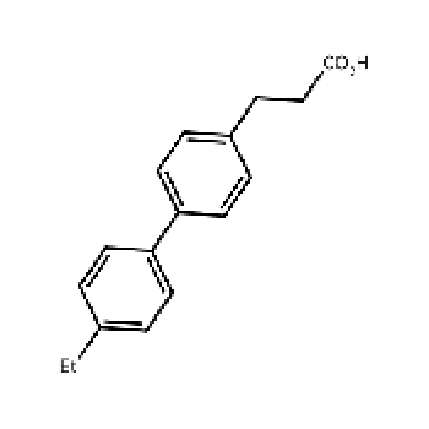 CCc1ccc(-c2ccc(CCC(=O)O)cc2)cc1